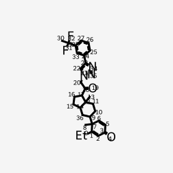 CCC1=CC(=O)C=CC1(C)C1CCC2(C)C(CCC2C(=O)Cn2cc(-c3cccc(C(C)(F)F)c3)nn2)C1